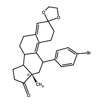 C[C@]12CC(c3ccc(Br)cc3)C3=C4CCC5(C=C4CCC3C1CCC2=O)OCCO5